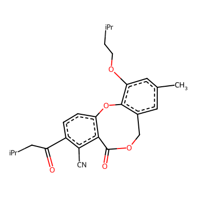 Cc1cc2c(c(OCCC(C)C)c1)Oc1ccc(C(=O)CC(C)C)c(C#N)c1C(=O)OC2